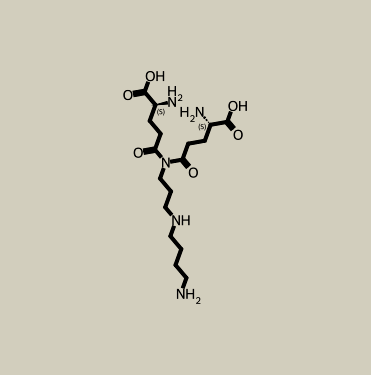 NCCCCNCCCN(C(=O)CC[C@H](N)C(=O)O)C(=O)CC[C@H](N)C(=O)O